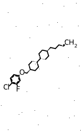 C=CCCC[C@H]1CC[C@H]([C@H]2CC[C@H](COc3ccc(Cl)c(F)c3)CC2)CC1